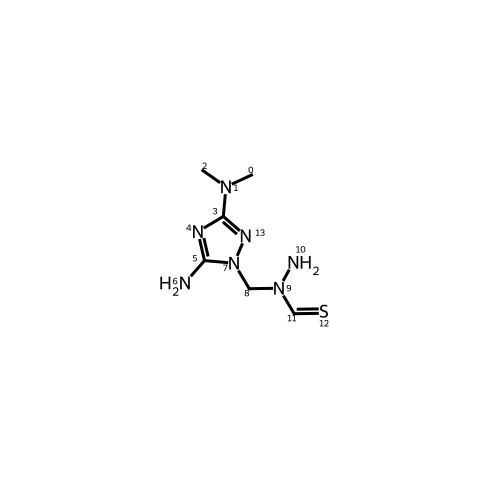 CN(C)c1nc(N)n(CN(N)C=S)n1